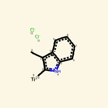 Cc1[c]([Ti+2])[nH]c2ccccc12.[Cl-].[Cl-]